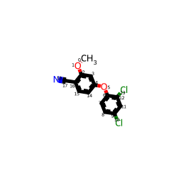 COc1cc(Oc2ccc(Cl)cc2Cl)ccc1C#N